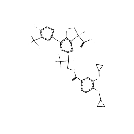 C[C@]1(C(N)=O)COc2c1cc([C@@](O)(CNC(=O)c1ccc(OC3CC3)c(OC3CC3)c1)C(F)(F)F)nc2-c1ccc(F)c(C(F)(F)F)c1